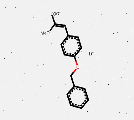 CO/C(=C\c1ccc(OCc2ccccc2)cc1)C(=O)[O-].[Li+]